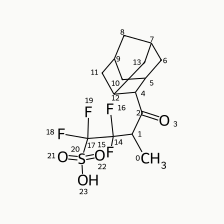 CC(C(=O)C1C2CC3CC(C2)CC1C3)C(F)(F)C(F)(F)S(=O)(=O)O